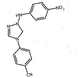 N#Cc1ccc(N2C=NN(Nc3ccc([N+](=O)[O-])cc3)C2)cc1